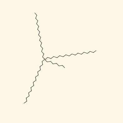 CCCCCCCCCCCCCCCCC[N+](CCCCCCC)(CCCCCCCCCCCCCCCCC)CCCCCCCCCCCCCCCCC